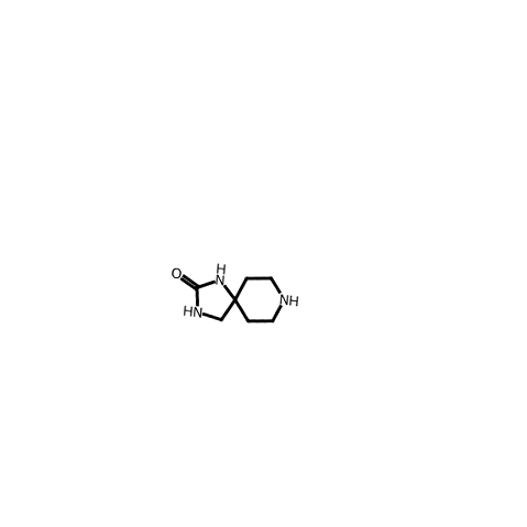 O=C1NCC2(CCNCC2)N1